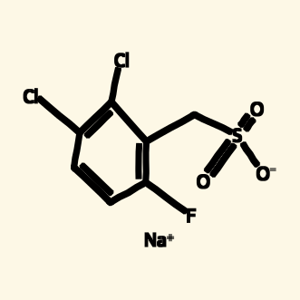 O=S(=O)([O-])Cc1c(F)ccc(Cl)c1Cl.[Na+]